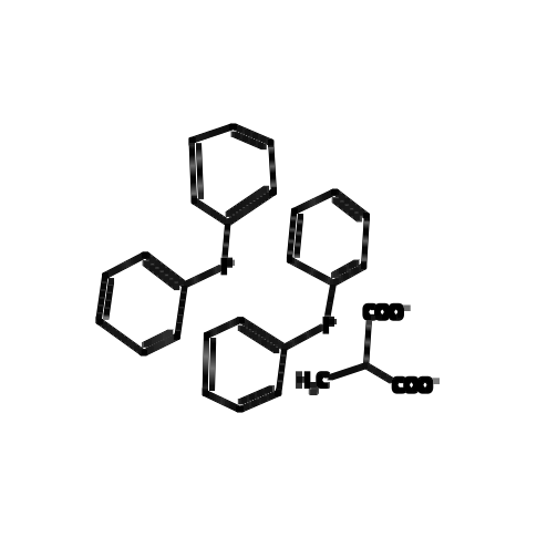 CC(C(=O)[O-])C(=O)[O-].c1ccc([I+]c2ccccc2)cc1.c1ccc([I+]c2ccccc2)cc1